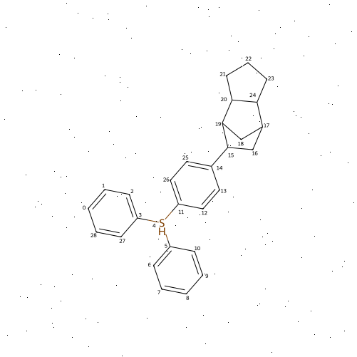 c1ccc([SH](c2ccccc2)c2ccc(C3CC4CC3C3CCCC43)cc2)cc1